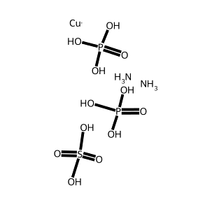 N.N.O=P(O)(O)O.O=P(O)(O)O.O=S(=O)(O)O.[Cu]